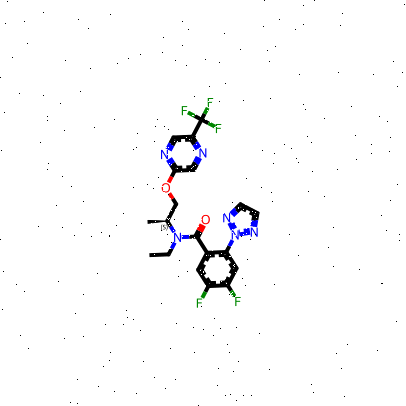 CCN(C(=O)c1cc(F)c(F)cc1-n1nccn1)[C@@H](C)COc1cnc(C(F)(F)F)cn1